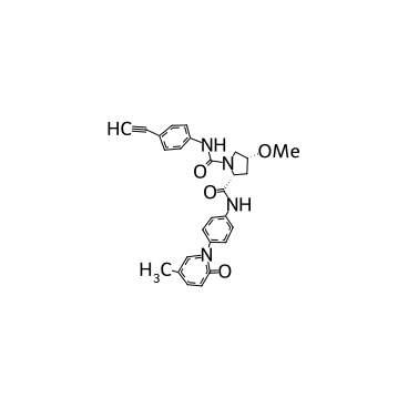 C#Cc1ccc(NC(=O)N2C[C@H](OC)C[C@@H]2C(=O)Nc2ccc(-n3cc(C)ccc3=O)cc2)cc1